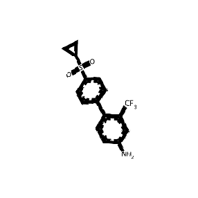 Nc1ccc(-c2ccc(S(=O)(=O)C3CC3)cc2)c(C(F)(F)F)c1